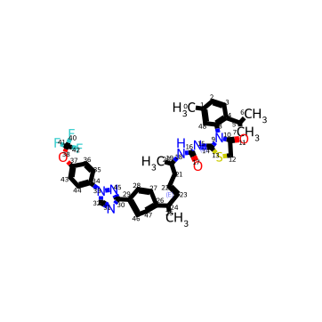 Cc1ccc(C(C)C)c(N2C(=O)CS/C2=N\C(=O)NC(C)C/C=C/C(C)c2ccc(-c3ncn(-c4ccc(OC(F)(F)F)cc4)n3)cc2)c1